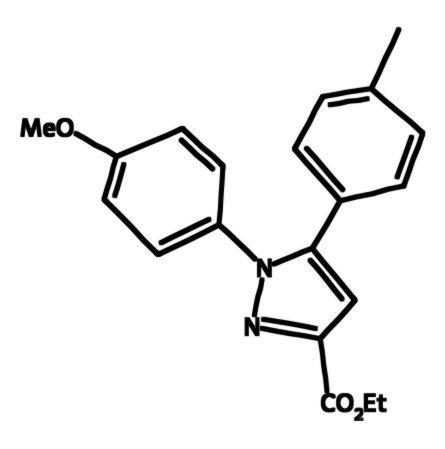 CCOC(=O)c1cc(-c2ccc(C)cc2)n(-c2ccc(OC)cc2)n1